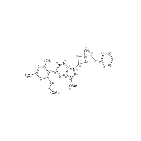 COCOc1cc(C(F)(F)F)cc(C)c1-c1cc2c(OC)cn(C3CC(C)(OCc4ccccc4)C3)c2nn1